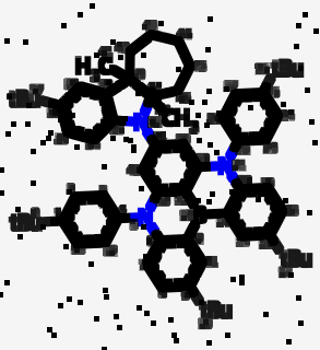 CC(C)(C)c1ccc(N2c3ccc(C(C)(C)C)cc3B3c4cc(C(C)(C)C)ccc4N(c4ccc(C(C)(C)C)cc4)c4cc(N5c6ccc(C(C)(C)C)cc6C6(C)CCCCCC56C)cc2c43)cc1